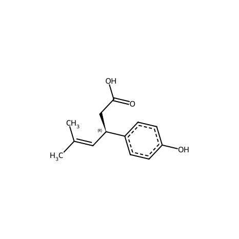 CC(C)=C[C@@H](CC(=O)O)c1ccc(O)cc1